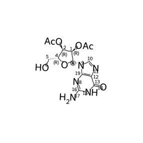 CC(=O)O[C@@H]1[C@H](OC(C)=O)[C@@H](CO)O[C@H]1n1cnc2c(=O)[nH]c(N)nc21